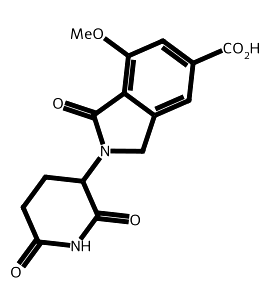 COc1cc(C(=O)O)cc2c1C(=O)N(C1CCC(=O)NC1=O)C2